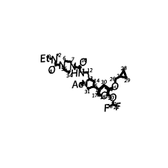 CCN(C)C(=O)N1CCN(C(=O)NC[C@H]2CC(c3ccc(OC(F)F)c(OCC4CC4)c3)CN2C(C)=O)CC1